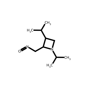 CC(C)C1CN(C(C)C)C1CN=O